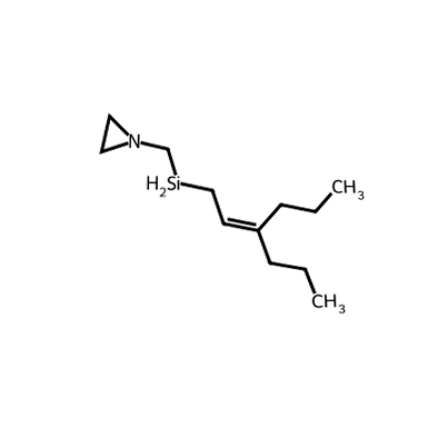 CCCC(=CC[SiH2]CN1CC1)CCC